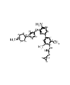 Cc1cc(-c2cnc(N)c(Oc3cnn(C4CCN(C)CC4)c3)n2)cc(C)c1CNSC1CC1